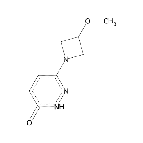 COC1CN(c2ccc(=O)[nH]n2)C1